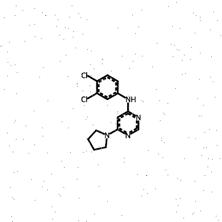 Clc1ccc(Nc2cc(N3CCCC3)ncn2)cc1Cl